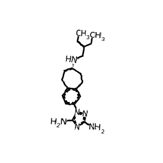 CCC(CC)CN[C@H]1CCc2ccc(-n3nc(N)nc3N)cc2CC1